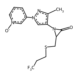 Cc1nn(-c2ccc[n+]([O-])c2)cc1N1C(=O)C1CSCCC(F)(F)F